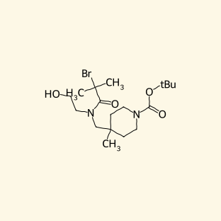 CC1(CN(CCO)C(=O)C(C)(C)Br)CCN(C(=O)OC(C)(C)C)CC1